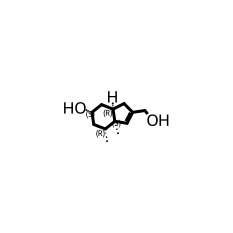 C[C@@H]1C[C@H](O)C[C@H]2CC(CO)=C[C@]21C